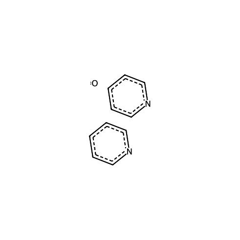 [O].c1ccncc1.c1ccncc1